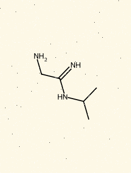 CC(C)NC(=N)CN